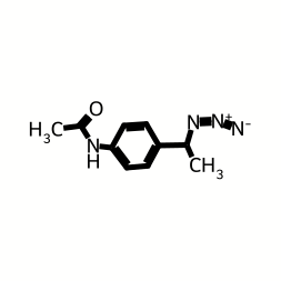 CC(=O)Nc1ccc(C(C)N=[N+]=[N-])cc1